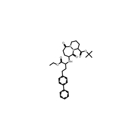 CCOC(=O)C(CCc1ccc(-c2ccccc2)cc1)NC1CCC(=O)N2CCCC(C(=O)OC(C)(C)C)N2C1=O